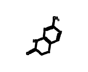 Cc1ncc2c(n1)NC(=O)CS2